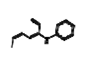 C=C/C(Bc1ccccc1)=C\C=C/C